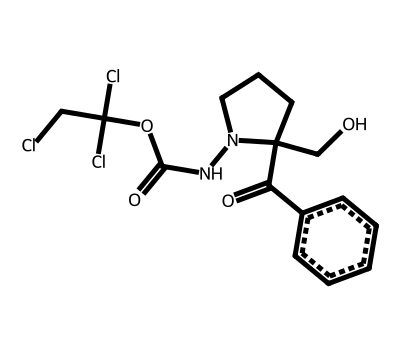 O=C(NN1CCCC1(CO)C(=O)c1ccccc1)OC(Cl)(Cl)CCl